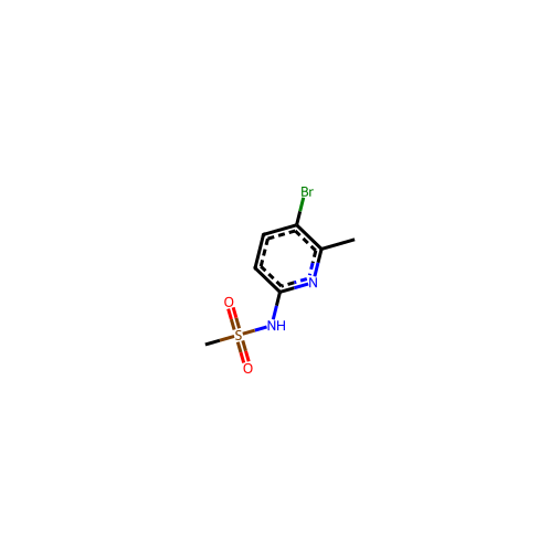 Cc1nc(NS(C)(=O)=O)ccc1Br